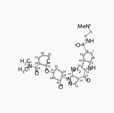 CNCCNC(=O)c1ccc2[nH]c(C(=O)c3cnn(-c4ccc(Oc5ccccc5C(=O)N(C)C)cc4Cl)c3N)cc2c1